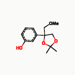 COCC1(c2cccc(O)c2)COC(C)(C)O1